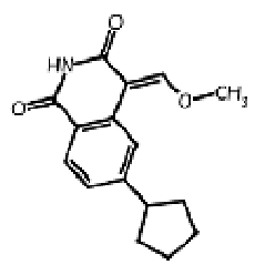 CO/C=C1/C(=O)NC(=O)c2ccc(C3CCCC3)cc21